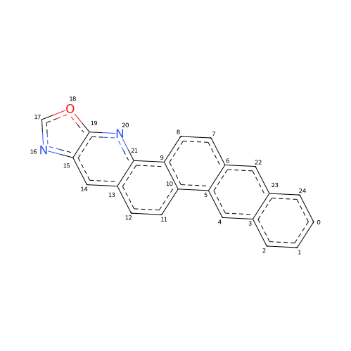 c1ccc2cc3c(ccc4c3ccc3cc5ncoc5nc34)cc2c1